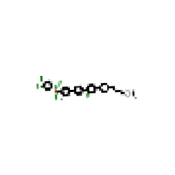 CCCCCC1CCC(c2cc(F)c(-c3ccc(-c4cc(F)c(C(F)(F)Oc5cc(F)c(F)c(F)c5)c(F)c4)cc3)c(F)c2)CC1